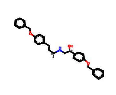 C[C@H](CCc1ccc(OCc2ccccc2)cc1)NC[C@H](O)c1ccc(OCc2ccccc2)cc1